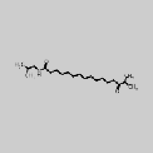 CC(C)CNC(=O)CCCCCCCCCCCCC(=O)C(C)C